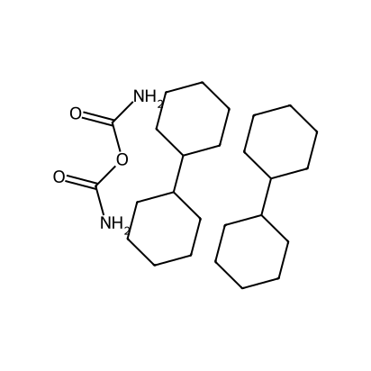 C1CCC(C2CCCCC2)CC1.C1CCC(C2CCCCC2)CC1.NC(=O)OC(N)=O